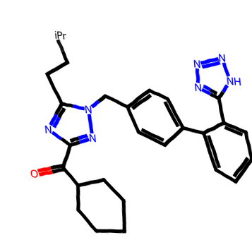 CC(C)CCc1nc(C(=O)C2CCCCC2)nn1Cc1ccc(-c2ccccc2-c2nnn[nH]2)cc1